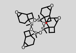 C[Si]1(C23CCC4OC4C2CC3)O[Si](C)(C23CCC4OC4C2CC3)O[Si](C)(C23CCC4OC4C2CC3)O[Si](C)(C23CCC4OC4C2CC3)O1